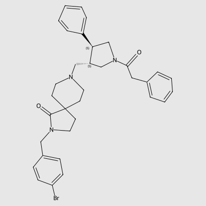 O=C(Cc1ccccc1)N1C[C@H](CN2CCC3(CC2)CCN(Cc2ccc(Br)cc2)C3=O)[C@@H](c2ccccc2)C1